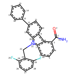 NC(=O)c1cccc2c1c1[c]cc(-c3ccccc3)cc1n2Cc1c(F)cccc1F